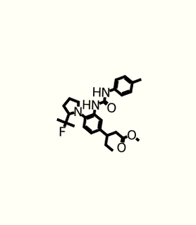 CCC(CC(=O)OC)c1ccc(N2CCCC2C(C)(C)F)c(NC(=O)Nc2ccc(C)cc2)c1